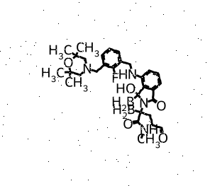 BC(CCC=O)(C(=O)NC)N1C(=O)c2cccc(NCc3cccc(CN4CC(C)(C)OC(C)(C)C4)c3F)c2C1(B)O